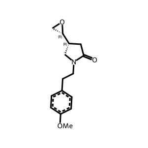 COc1ccc(CCN2C[C@H]([C@@H]3CO3)CC2=O)cc1